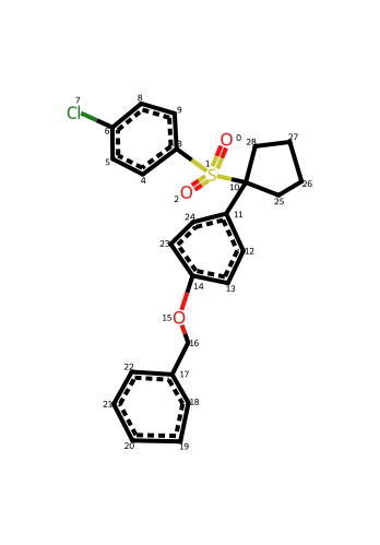 O=S(=O)(c1ccc(Cl)cc1)C1(c2ccc(OCc3ccccc3)cc2)CCCC1